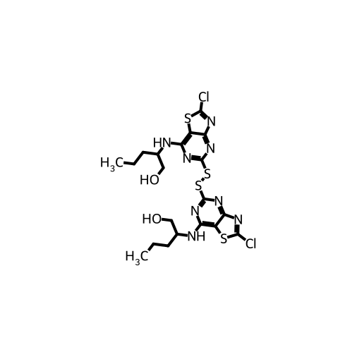 CCCC(CO)Nc1nc(SSc2nc(NC(CO)CCC)c3sc(Cl)nc3n2)nc2nc(Cl)sc12